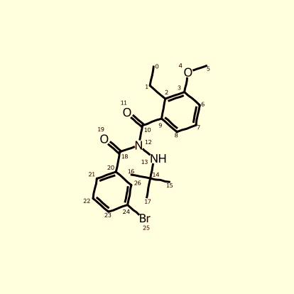 CCc1c(OC)cccc1C(=O)N(NC(C)(C)C)C(=O)c1cccc(Br)c1